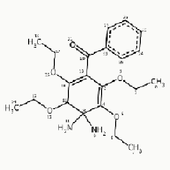 CCOC1=C(OCC)C(N)(N)C(OCC)C(OCC)=C1C(=O)c1ccccc1